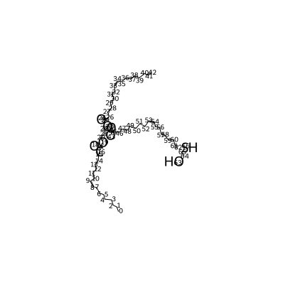 CCCCCCCC/C=C\CCCCCCCC(=O)OCC(COC(=O)CCCCCCC/C=C\CCCCCCCC)OC(=O)CCCCCCC/C=C\CCCCCCCC.OCCS